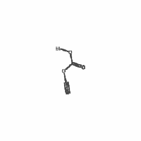 C#COC(=O)OCC